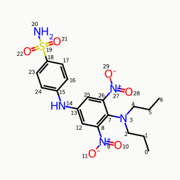 CCCN(CCC)c1c([N+](=O)[O-])cc(Nc2ccc(S(N)(=O)=O)cc2)cc1[N+](=O)[O-]